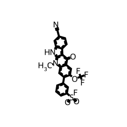 Cn1c2cc(-c3cccc(S(=O)(=O)F)c3)c(OC(F)(F)F)cc2c(=O)c2c3ccc(C#N)cc3[nH]c21